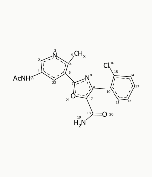 CC(=O)Nc1cnc(C)c(-c2nc(-c3ccccc3Cl)c(C(N)=O)o2)c1